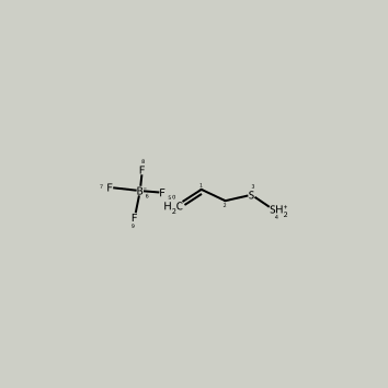 C=CCS[SH2+].F[B-](F)(F)F